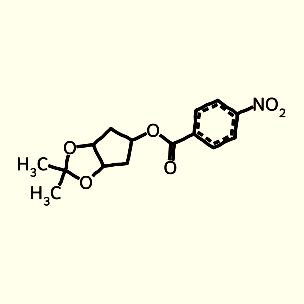 CC1(C)OC2CC(OC(=O)c3ccc([N+](=O)[O-])cc3)CC2O1